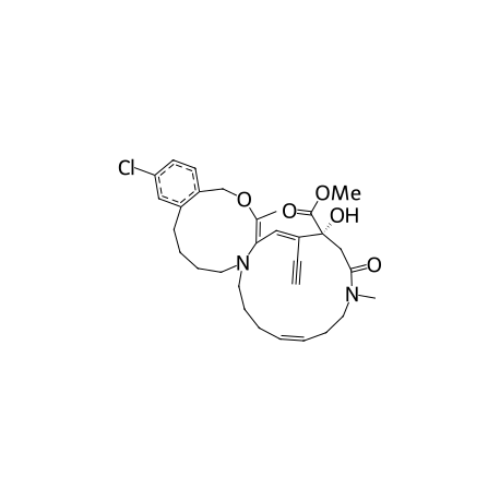 C#C/C1=C\C2=C(/C)OCc3ccc(Cl)cc3CCCCN2CCC/C=C\CCN(C)C(=O)C[C@]1(O)C(=O)OC